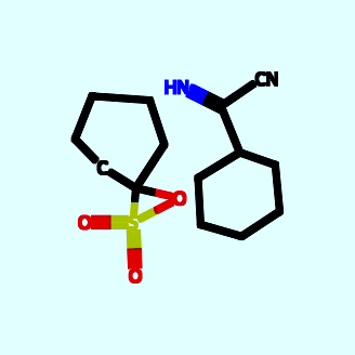 N#CC(=N)C1CCCCC1.O=S1(=O)OC12CCCCC2